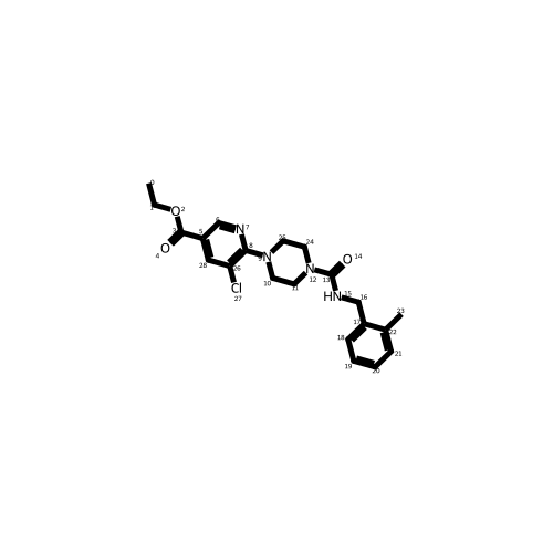 CCOC(=O)c1cnc(N2CCN(C(=O)NCc3ccccc3C)CC2)c(Cl)c1